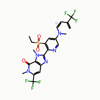 C=C(/C=C\N(C)c1cnc(-c2nc3cc(C(F)(F)F)n(C)c(=O)c3n2C)c(S(=O)(=O)CC)c1)C(F)(F)F